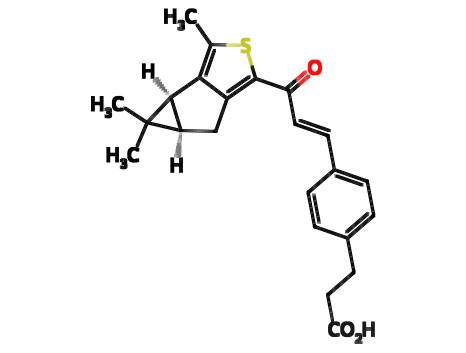 Cc1sc(C(=O)/C=C/c2ccc(CCC(=O)O)cc2)c2c1[C@H]1[C@@H](C2)C1(C)C